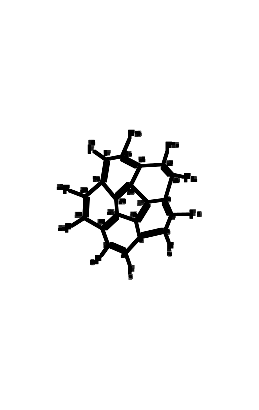 Fc1c(F)c2c(F)c(F)c3c(F)c(F)c4c(F)c(F)c5c(F)c(F)c1c1c2c3c4c51